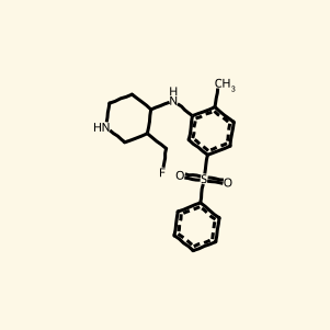 Cc1ccc(S(=O)(=O)c2ccccc2)cc1NC1CCNCC1CF